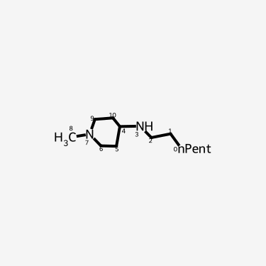 CCCCCCCNC1CCN(C)CC1